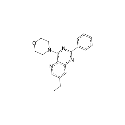 CCc1cnc2c(N3CCOCC3)nc(-c3ccccc3)nc2c1